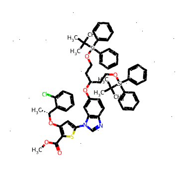 COC(=O)c1sc(-n2cnc3ccc(OC(CCO[Si](c4ccccc4)(c4ccccc4)C(C)(C)C)CCO[Si](c4ccccc4)(c4ccccc4)C(C)(C)C)cc32)cc1O[C@H](C)c1ccccc1Cl